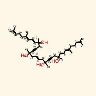 CC(C)=CCC/C(C)=C/C=C/C(C)(O)CC#CC(C)(O)C/C=C/CC(C)(O)C#CCC(C)(O)/C=C/C=C(\C)CCC=C(C)C